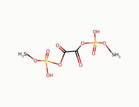 O=C(OP(=O)(O)O[SiH3])C(=O)OP(=O)(O)O[SiH3]